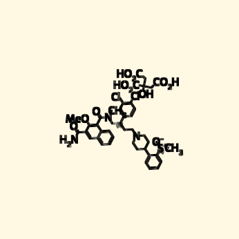 COc1c(C(N)=O)cc2ccccc2c1C(=O)N(C)C[C@@H](CCN1CCC(c2ccccc2[S@+](C)[O-])CC1)c1ccc(Cl)c(Cl)c1.O=C(O)CC(O)(CC(=O)O)C(=O)O